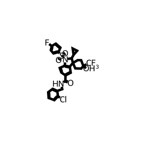 O=C(NCc1ccccc1Cl)c1ccc2c(c1)C1(CCC(O)(C(F)(F)F)CC1)C(C1CC1)N2S(=O)(=O)c1ccc(F)cc1